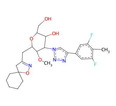 COC1C(CC2=NOC3(CCCCC3)C2)OC(CO)C(O)C1n1cc(-c2cc(F)c(C)c(F)c2)nn1